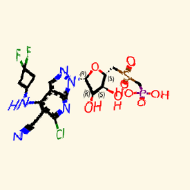 N#Cc1c(Cl)nc2c(cnn2[C@@H]2O[C@H](CS(=O)(=O)CP(=O)(O)O)[C@@H](O)[C@H]2O)c1NC1CC(F)(F)C1